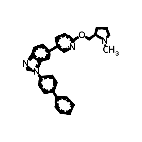 CN1CCCC1COc1ccc(-c2ccc3ncn(-c4ccc(-c5ccccc5)cc4)c3c2)cn1